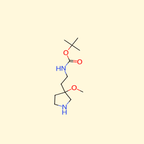 COC1(CCNC(=O)OC(C)(C)C)CCNC1